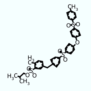 Cc1ccc(S(=O)(=O)c2ccc(Oc3ccc(S(=O)(=O)c4ccc(Cc5ccc(C)c(S(=O)(=O)OCC(C)C)c5)cc4)cc3)cc2)cc1